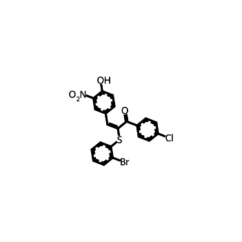 O=C(/C(=C\c1ccc(O)c([N+](=O)[O-])c1)Sc1ccccc1Br)c1ccc(Cl)cc1